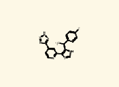 Fc1ccc(C(c2[nH]cnc2-c2cc(-c3nn[nH]n3)ccn2)C(F)(F)F)cc1